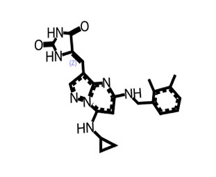 Cc1cccc(CNc2cc(NC3CC3)n3ncc(/C=C4\NC(=O)NC4=O)c3n2)c1C